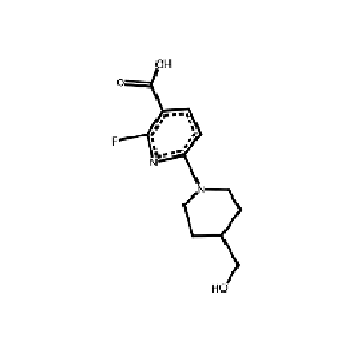 O=C(O)c1ccc(N2CCC(CO)CC2)nc1F